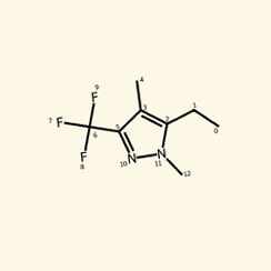 CCc1c(C)c(C(F)(F)F)nn1C